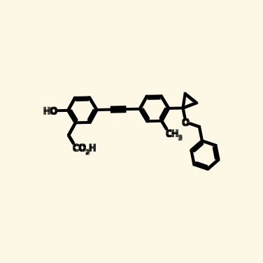 Cc1cc(C#Cc2ccc(O)c(CC(=O)O)c2)ccc1C1(OCc2ccccc2)CC1